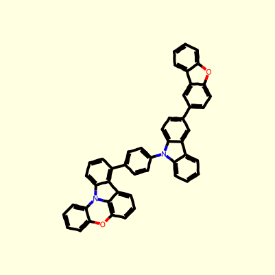 c1ccc2c(c1)Oc1cccc3c4c(-c5ccc(-n6c7ccccc7c7cc(-c8ccc9oc%10ccccc%10c9c8)ccc76)cc5)cccc4n-2c13